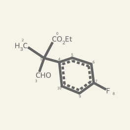 CCOC(=O)C(C)(C=O)c1ccc(F)cc1